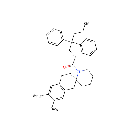 COc1cc2c(cc1OC)CC1(CCCCN1C(=O)CCC(CCC#N)(c1ccccc1)c1ccccc1)CC2